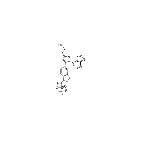 O=S(=O)(NC1CCc2cc(-c3cn(CCO)nc3-c3ccnc4nccn34)ccc21)C(F)(F)F